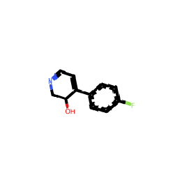 OC1CN=CC=C1c1ccc(F)cc1